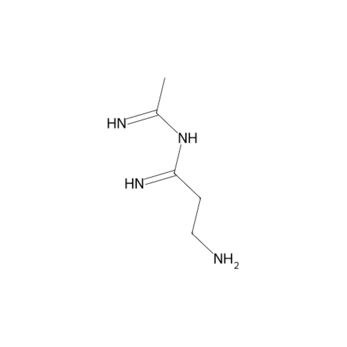 CC(=N)NC(=N)CCN